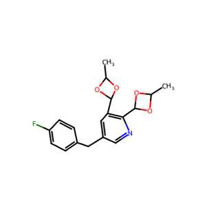 CC1OC(c2cc(Cc3ccc(F)cc3)cnc2C2OC(C)O2)O1